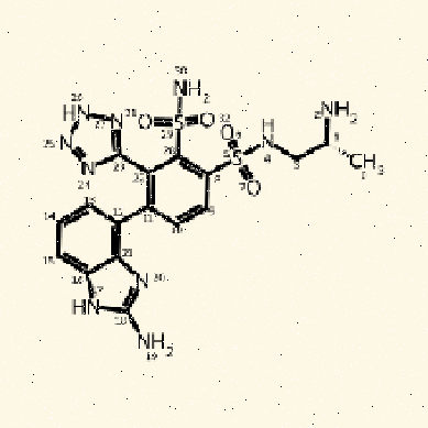 C[C@@H](N)CNS(=O)(=O)c1ccc(-c2cccc3[nH]c(N)nc23)c(-c2nn[nH]n2)c1S(N)(=O)=O